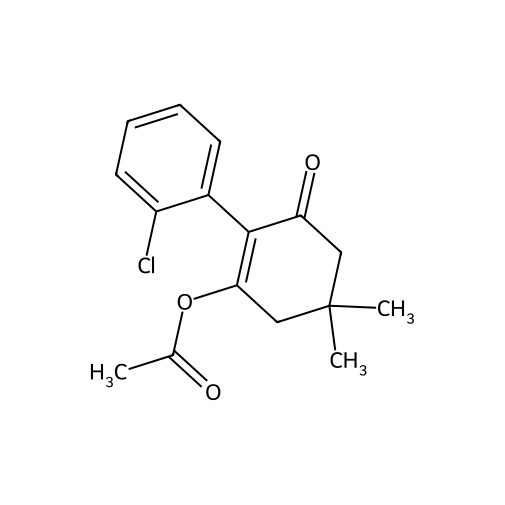 CC(=O)OC1=C(c2ccccc2Cl)C(=O)CC(C)(C)C1